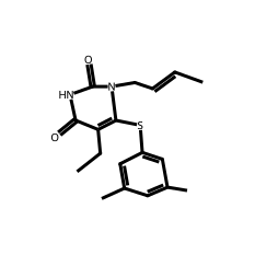 CC=CCn1c(Sc2cc(C)cc(C)c2)c(CC)c(=O)[nH]c1=O